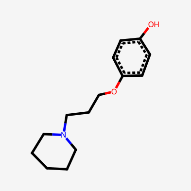 Oc1ccc(OCCCN2CCCCC2)cc1